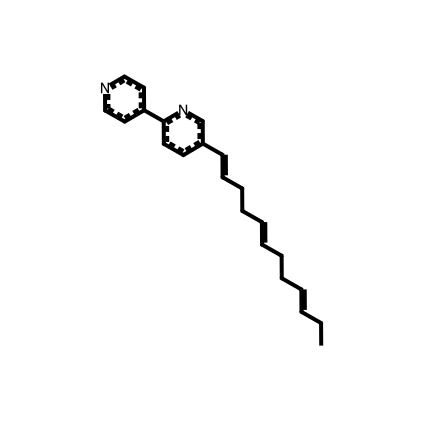 CC/C=C/CC/C=C/CC/C=C/c1ccc(-c2ccncc2)nc1